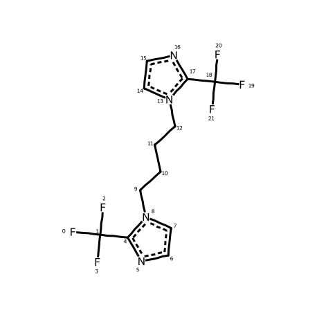 FC(F)(F)c1nccn1CCCCn1ccnc1C(F)(F)F